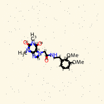 COc1cccc(CCNC(=O)Cn2cnc3c2c(=O)n(C)c(=O)n3C)c1OC